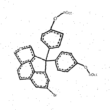 CCCCCCCCOc1ccc(C2(c3ccc(OCCCCCCCC)cc3)c3cccc4ccc5cc(Br)cc2c5c34)cc1